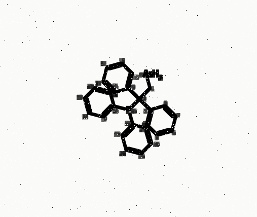 [AsH2]CC(c1ccccc1)(c1ccccc1)P(c1ccccc1)c1ccccc1